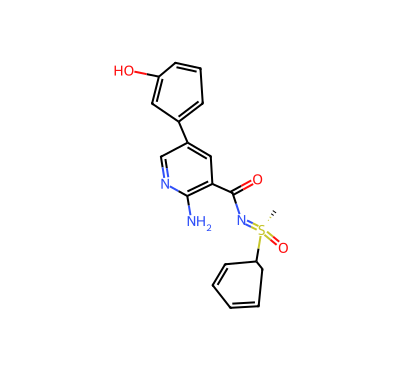 C[S@@](=O)(=NC(=O)c1cc(-c2cccc(O)c2)cnc1N)C1C=CC=CC1